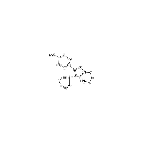 CSc1ccc(-c2nn3c(c2-c2ccncc2)NCCC3)cc1